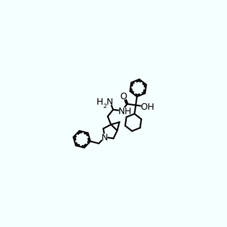 NC(CC12CC1CN(Cc1ccccc1)C2)NC(=O)C(O)(c1ccccc1)C1CCCCC1